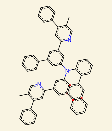 Cc1cnc(-c2cc(-c3ccccc3)cc(N(c3cc(-c4ccccc4)cc(-c4cc(-c5ccccc5)c(C)cn4)c3)c3ccccc3-c3ccccc3)c2)cc1-c1ccccc1